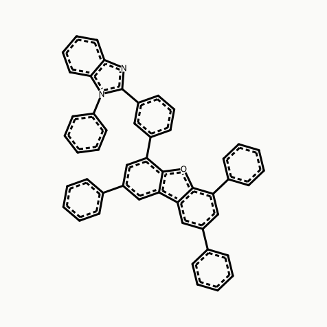 c1ccc(-c2cc(-c3ccccc3)c3oc4c(-c5cccc(-c6nc7ccccc7n6-c6ccccc6)c5)cc(-c5ccccc5)cc4c3c2)cc1